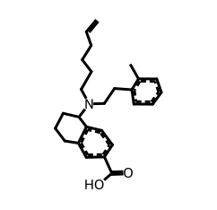 C=CCCCCN(CCc1ccccc1C)C1CCCc2cc(C(=O)O)ccc21